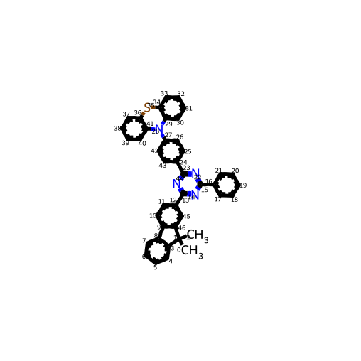 CC1(C)c2ccccc2-c2ccc(-c3nc(-c4ccccc4)nc(-c4ccc(N5c6ccccc6Sc6ccccc65)cc4)n3)cc21